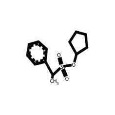 CC(c1ccccc1)S(=O)(=O)OC1CCCC1